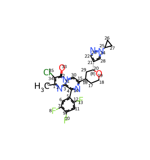 Cc1nc2c(-c3cc(F)c(F)cc3F)nc([C@@H]3CCO[C@@H](c4cnn(C5CC5)c4)C3)cn2c(=O)c1Cl